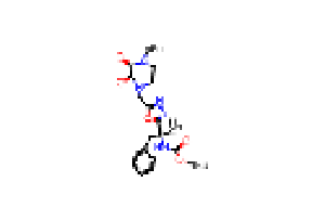 CCCCN1CCN(Cc2nnc([C@@](C)(Cc3ccccc3)NC(=O)OC(C)(C)C)o2)C(=O)C1=O